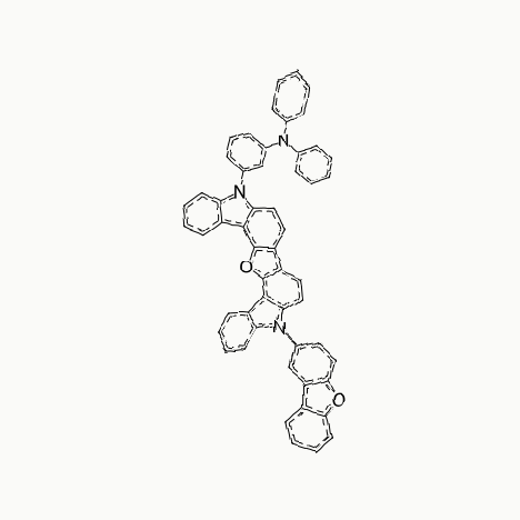 c1ccc(N(c2ccccc2)c2cccc(-n3c4ccccc4c4c5oc6c(ccc7c6c6ccccc6n7-c6ccc7oc8ccccc8c7c6)c5ccc43)c2)cc1